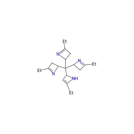 CCC1=CC(C(C2CC(CC)=N2)(C2CC(CC)=N2)C2CC(CC)=N2)N1